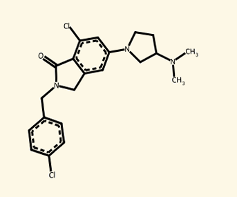 CN(C)C1CCN(c2cc(Cl)c3c(c2)CN(Cc2ccc(Cl)cc2)C3=O)C1